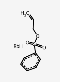 C=CCOS(=O)(=O)c1ccccc1.[RbH]